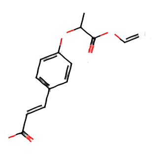 C=COC(=O)C(C)Oc1ccc(C=CC(=O)O)cc1